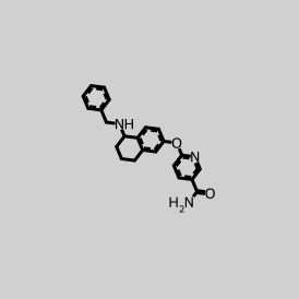 NC(=O)c1ccc(Oc2ccc3c(c2)CCCC3NCc2ccccc2)nc1